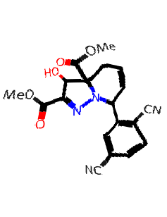 COC(=O)C1=NN2C(c3cc(C#N)ccc3C#N)C=CCC2(C(=O)OC)C1O